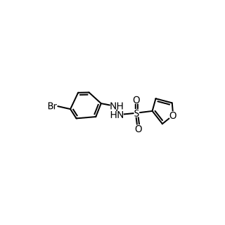 O=S(=O)(NNc1ccc(Br)cc1)c1ccoc1